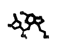 C[C@@H](Oc1nc(Cl)cc2ncn(CCO)c12)C1CNC(=O)C1